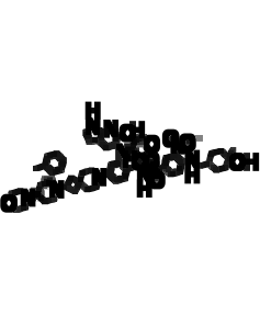 Cc1ccccc1[C@H]1C[C@H](N2CCOCC2)CCN1C1CC2(CCN(c3ccc(C(=O)NS(=O)(=O)c4ccc(NCC5CCC(C)(O)CC5)c([N+](=O)[O-])c4)c(N4c5cc6cc[nH]c6nc5O[C@H]5COCC[C@@H]54)c3)CC2)C1